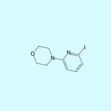 Ic1cccc(N2CCOCC2)n1